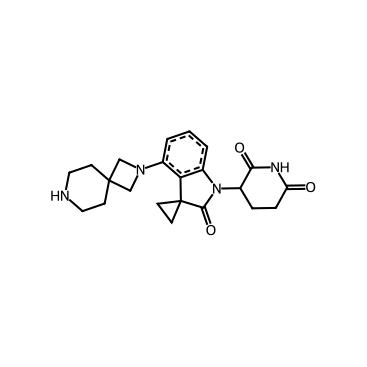 O=C1CCC(N2C(=O)C3(CC3)c3c(N4CC5(CCNCC5)C4)cccc32)C(=O)N1